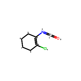 O=C=NC1=C(Cl)CCCC1